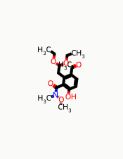 CCOC(Cc1c(C(C)=O)ccc(O)c1C(=O)N(C)OC)OCC